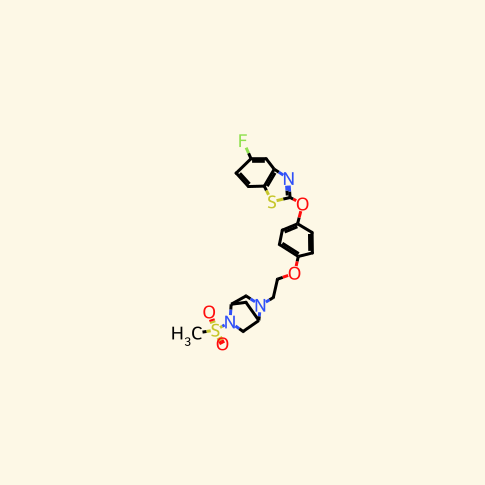 CS(=O)(=O)N1CC2CC1CN2CCOc1ccc(Oc2nc3cc(F)ccc3s2)cc1